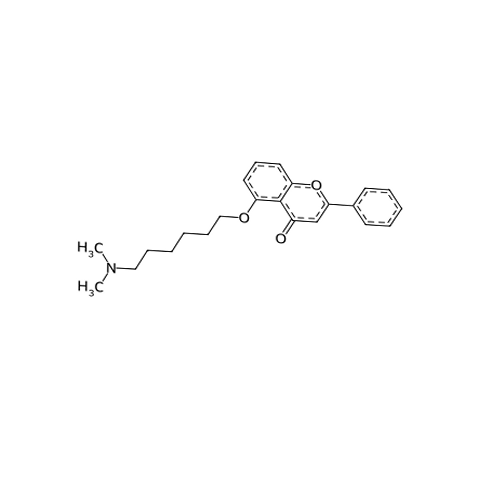 CN(C)CCCCCCOc1cccc2oc(-c3ccccc3)cc(=O)c12